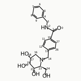 O=C(NCc1ccccc1)c1ccc(CN2C[C@H](O)[C@@H](O)[C@H](O)[C@@H]2CO)cc1